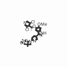 COc1cc2[nH]nc(-c3ccc(N4CC(C)(CS(C)(=O)=O)C4)nc3)c2cc1O[C@H](C)c1c(Cl)cncc1Cl